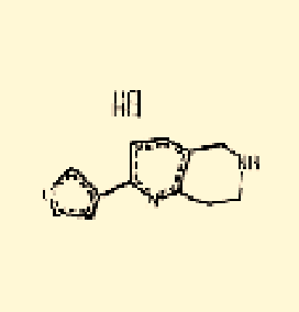 Cl.Cl.c1cc(-c2ccc3c(n2)CCNC3)co1